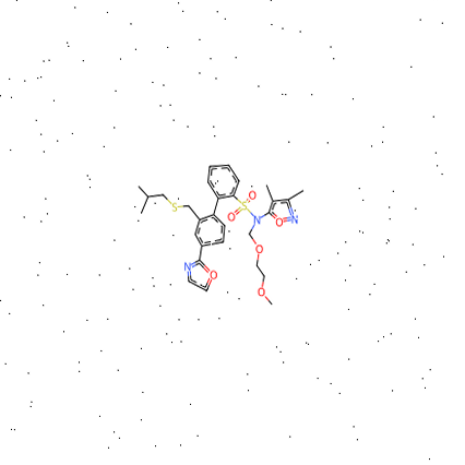 COCCOCN(c1onc(C)c1C)S(=O)(=O)c1ccccc1-c1ccc(-c2ncco2)cc1CSCC(C)C